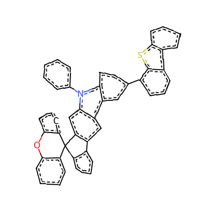 c1ccc(-n2c3ccc(-c4cccc5c4sc4ccccc45)cc3c3cc4c(cc32)C2(c3ccccc3Oc3ccccc32)c2ccccc2-4)cc1